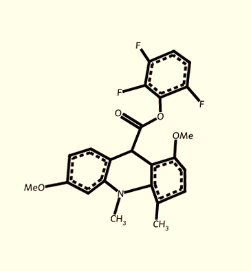 COc1ccc2c(c1)N(C)c1c(C)ccc(OC)c1C2C(=O)Oc1c(F)ccc(F)c1F